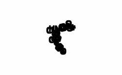 COc1ccc(Cn2ccc3cc(NC4CCN(C(=O)OC(C)(C)C)CC4)c(Cl)cc3c2=O)cc1